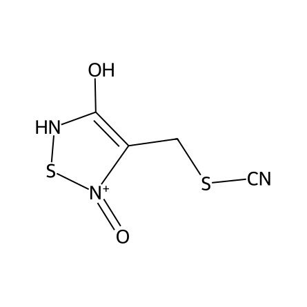 N#CSCc1c(O)[nH]s[n+]1=O